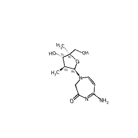 C[C@@H]1[C@H](N2C=CC(N)=NC(=O)C2)O[C@](C)(CO)[C@H]1O